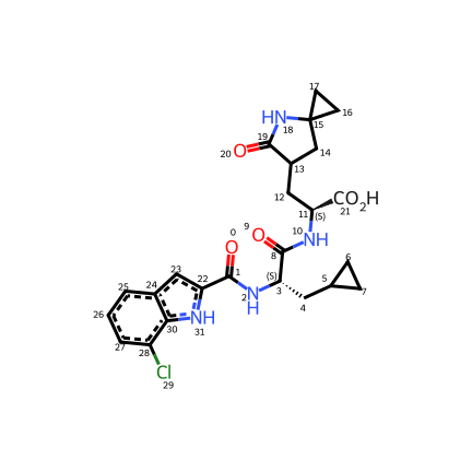 O=C(N[C@@H](CC1CC1)C(=O)N[C@@H](CC1CC2(CC2)NC1=O)C(=O)O)c1cc2cccc(Cl)c2[nH]1